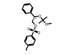 COC(C)(C)O[C@@H](COS(=O)(=O)c1ccc(C)cc1)c1ccccc1